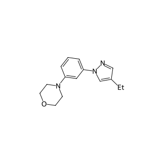 CCc1cnn(-c2cccc(N3CCOCC3)c2)c1